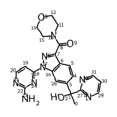 CC(O)(c1ccc2c(C(=O)N3CCOCC3)nn(-c3ccnc(N)n3)c2c1)c1ncccn1